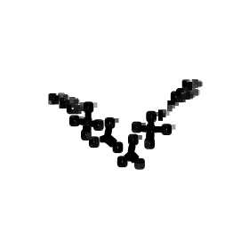 O=C([O-])[O-].O=C([O-])[O-].O=P([O-])([O-])[O-].O=P([O-])([O-])[O-].[Ca+2].[Ca+2].[Ca+2].[F-].[F-].[Sr+2].[Sr+2].[Sr+2]